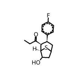 CCC(=O)[C@H]1[C@@H](c2ccc(F)cc2)CC2CC(O)[C@@H]1S2